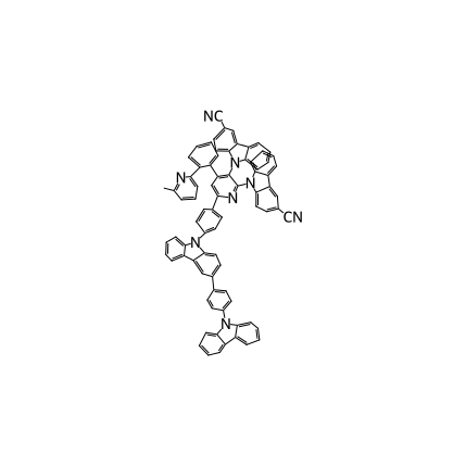 Cc1cccc(-c2ccccc2-c2cc(-c3ccc(-n4c5ccccc5c5cc(-c6ccc(-n7c8ccccc8c8ccccc87)cc6)ccc54)cc3)nc(-n3c4ccccc4c4cc(C#N)ccc43)c2-n2c3ccccc3c3cc(C#N)ccc32)n1